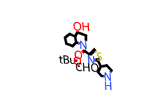 CC(C)(C)OC=O.O=C(c1csc(C2CCNCC2)n1)N1CCC(O)C2CCCCC21